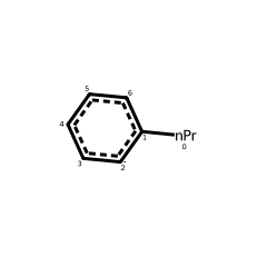 CCCc1[c]cccc1